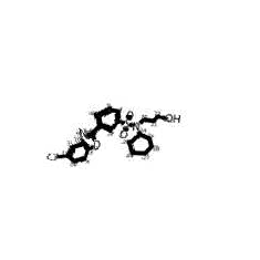 O=S(=O)(c1cccc(-c2nc3cc(Cl)ccc3o2)c1)N(CCCO)C1CCCCC1